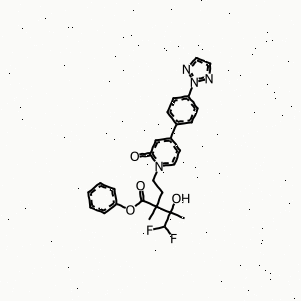 CC(CCn1ccc(-c2ccc(-n3nccn3)cc2)cc1=O)(C(=O)Oc1ccccc1)C(C)(O)C(F)F